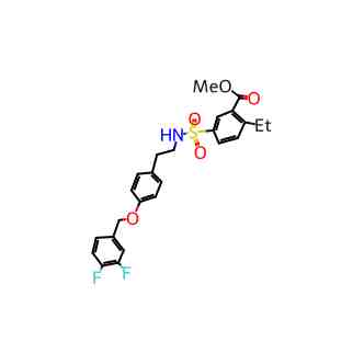 CCc1ccc(S(=O)(=O)NCCc2ccc(OCc3ccc(F)c(F)c3)cc2)cc1C(=O)OC